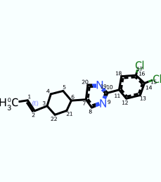 C/C=C/C1CCC(c2cnc(-c3ccc(Cl)c(Cl)c3)nc2)CC1